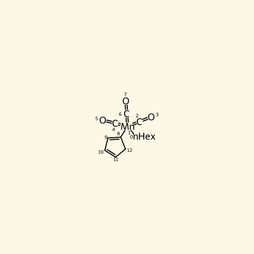 CCCCC[CH2][Mn](=[C]=O)(=[C]=O)(=[C]=O)[C]1=CC=CC1